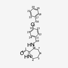 O=CC1NCCCCC1NCc1ccc(OCc2ccccc2)cc1